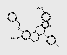 COc1ccc2[nH]c3c(c2c1)CC1c2cc(OCc4ccccc4)c(OC)cc2CCN1C3c1ccc(F)cc1